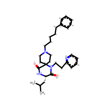 CC(C)C[C@@H]1NC(=O)C2(CCN(CCCCCc3ccccc3)CC2)N(CCc2ccccn2)C1=O